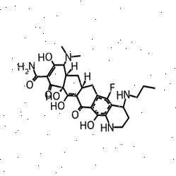 CCCNC1CCNc2c(O)c3c(c(F)c21)C[C@H]1C[C@H]2[C@H](N(C)C)C(O)=C(C(N)=O)C(=O)[C@@]2(O)C(O)=C1C3=O